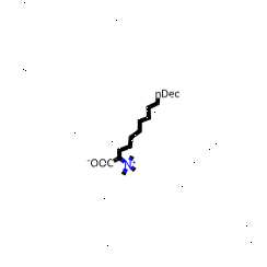 CCCCCCCCCCCCCCCCCCC(C(=O)[O-])[N+](C)(C)C